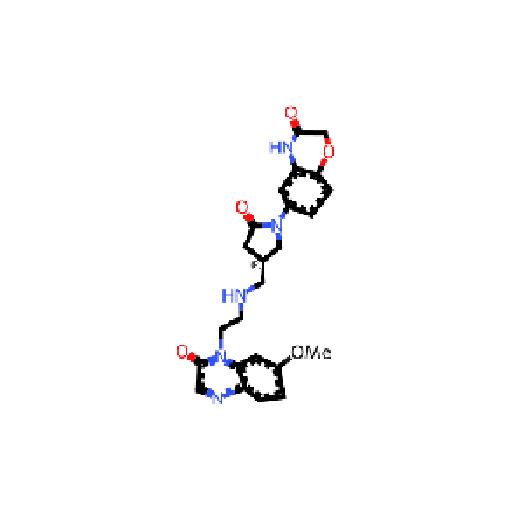 COc1ccc2ncc(=O)n(CCNC[C@H]3CC(=O)N(c4ccc5c(c4)NC(=O)CO5)C3)c2c1